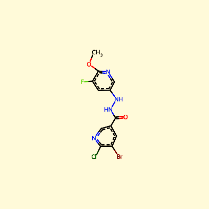 COc1ncc(NNC(=O)c2cnc(Cl)c(Br)c2)cc1F